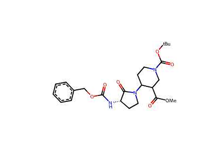 COC(=O)C1CN(C(=O)OC(C)(C)C)CCC1N1CC[C@H](NC(=O)OCc2ccccc2)C1=O